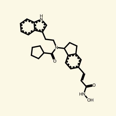 O=C(/C=C/c1ccc2c(c1)CCC2N(CCc1c[nH]c2ccccc12)C(=O)C1CCCC1)NO